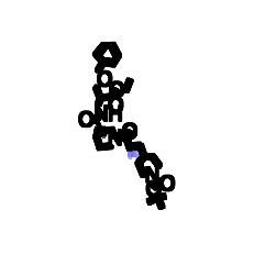 CCOC(=O)C(CNC(=O)[C@@H]1CCCN(C(=O)/C=C/C2CCN(C(=O)OC(C)(C)C)CC2)C1)COCc1ccccc1